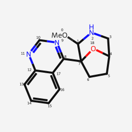 COC1NCC2CCC1(c1ncnc3ccccc13)O2